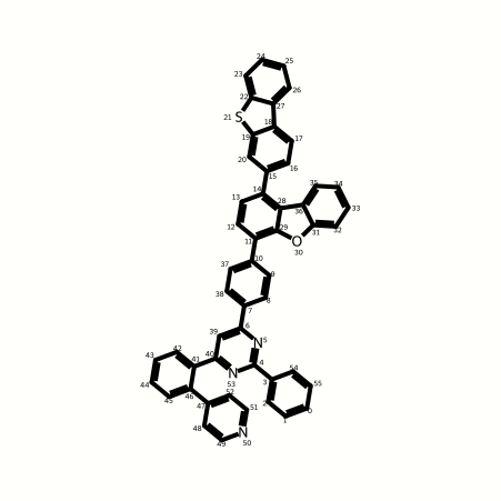 c1ccc(-c2nc(-c3ccc(-c4ccc(-c5ccc6c(c5)sc5ccccc56)c5c4oc4ccccc45)cc3)cc(-c3ccccc3-c3ccncc3)n2)cc1